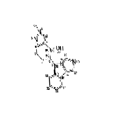 Cn1cc2c(n1)CC[C@@H]([C@@H]1c3ccccc3-c3cncn31)[C@H]2O